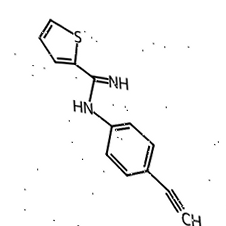 C#Cc1ccc(NC(=N)c2cccs2)cc1